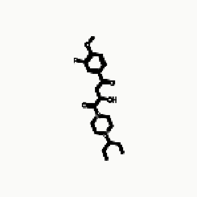 CCC(CC)N1CCN(C(=O)C(O)CC(=O)c2ccc(OC)c(F)c2)CC1